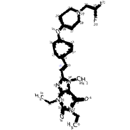 CCn1c(=O)c2c(nc(/C=C/c3ccc(OC4CCN(CC(F)F)CC4)cc3)n2C)n(CC)c1=O